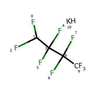 F[C](F)C(F)(F)C(F)(F)C(F)(F)F.[KH]